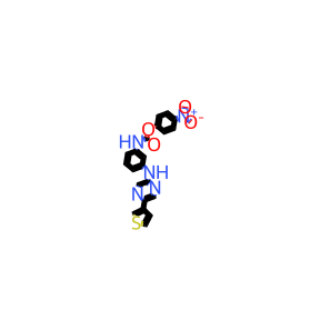 O=C(Nc1cccc(Nc2cnc(-c3ccsc3)cn2)c1)Oc1ccc([N+](=O)[O-])cc1